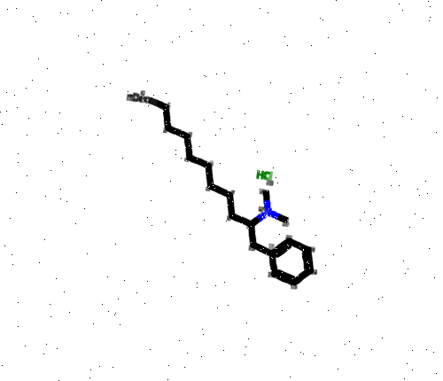 CCCCCCCCCCCCCCCCCCC(Cc1ccccc1)N(C)C.Cl